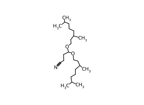 CC(C)CCCC(C)CCOC(CCC#N)OCCC(C)CCCC(C)C